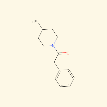 CCCC1CCN(C(=O)Cc2ccccc2)CC1